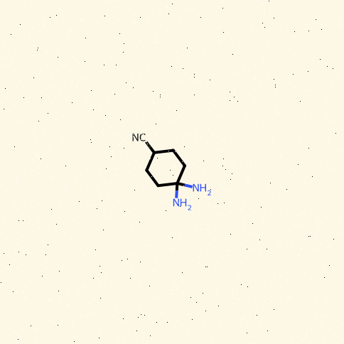 N#CC1CCC(N)(N)CC1